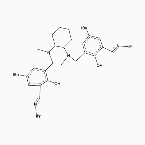 CC(C)/N=C/c1cc(C(C)(C)C)cc(CN(C)C2CCCCC2N(C)Cc2cc(C(C)(C)C)cc(/C=N/C(C)C)c2O)c1O